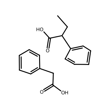 CCC(C(=O)O)c1ccccc1.O=C(O)Cc1ccccc1